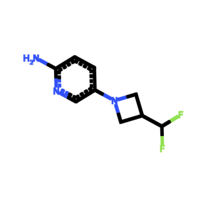 Nc1ccc(N2CC(C(F)F)C2)cn1